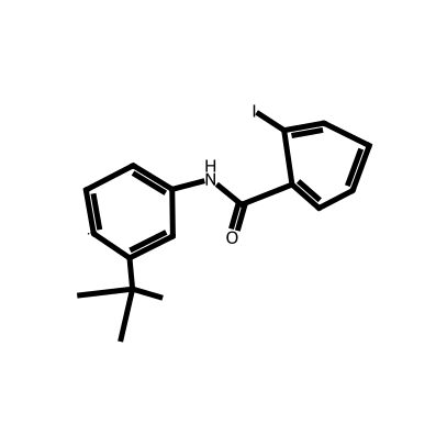 CC(C)(C)c1[c]ccc(NC(=O)c2ccccc2I)c1